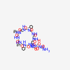 CC(C)C[C@@H]1NC(=O)CNC(=O)[C@H](Cc2ccccc2)N(C)C(=O)[C@H](C)NC(=O)CNC(=O)C[C@@H](C(=O)N(C)[C@@H](C)C(=O)N[C@@H](CO)C(=O)NCC(N)=O)NC(=O)[C@H](Cc2ccccc2)NC(=O)[C@H](C(C)C)NC(=O)[C@H](C)NC1=O